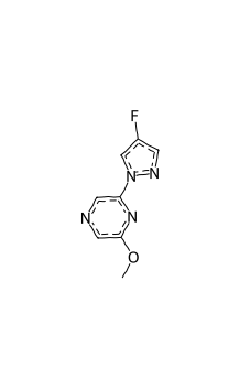 COc1cncc(-n2cc(F)cn2)n1